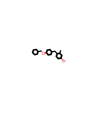 Cc1cc(Br)ccc1Cc1ccc(OCc2ccccc2)cc1